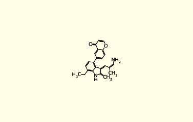 C=c1[nH]c2c(CC)ccc(-c3ccc4occc(=O)c4c3)c2/c1=C/C(C)=C\N